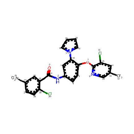 O=C(Nc1ccc(Oc2ncc(C(F)(F)F)cc2Cl)c(-n2cccc2)c1)c1cc([N+](=O)[O-])ccc1Cl